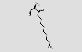 C=C(C=O)C(=O)OCCCCCCCC